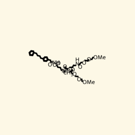 COCCOCCOCC(=O)NCCCC[C@@H](NC(=O)COCCOCCOC)C(=O)N(C)CCCC(=O)ONC(=O)Cc1ccc(CCCCc2ccccc2)cc1